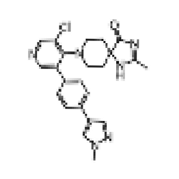 CC1=NC(=O)C2(CCN(c3c(Cl)cncc3-c3ccc(-c4cnn(C)c4)cc3)CC2)N1